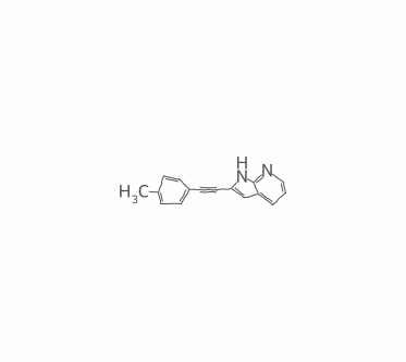 Cc1ccc(C#Cc2cc3cccnc3[nH]2)cc1